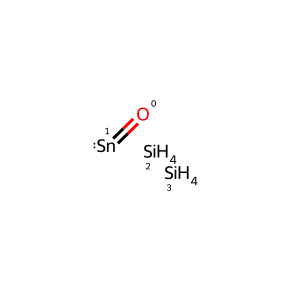 [O]=[Sn].[SiH4].[SiH4]